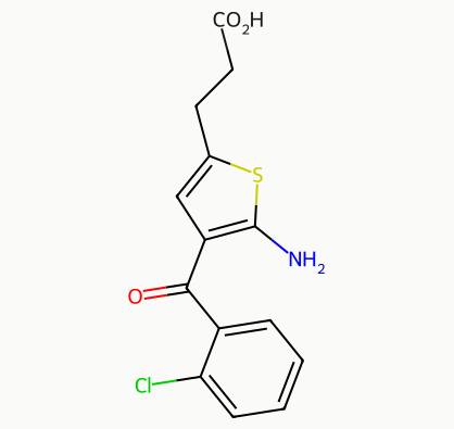 Nc1sc(CCC(=O)O)cc1C(=O)c1ccccc1Cl